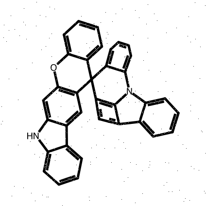 c1ccc2c(c1)Oc1cc3[nH]c4ccccc4c3cc1C21c2ccccc2-n2c3ccccc3c3cccc1c32